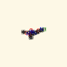 Cn1c(=O)n(-c2ccc(OCc3ccccc3)nc2OCc2ccccc2)c2cccc(N3CCC4(CCC(c5ccc(Cl)nc5)OC4)CC3)c21